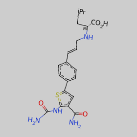 CC(C)C[C@@H](NCC=Cc1ccc(-c2cc(C(N)=O)c(NC(N)=O)s2)cc1)C(=O)O